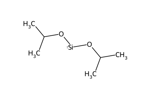 CC(C)O[Si]OC(C)C